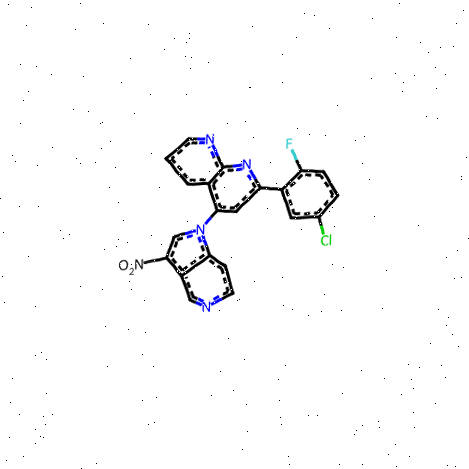 O=[N+]([O-])c1cn(-c2cc(-c3cc(Cl)ccc3F)nc3ncccc23)c2ccncc12